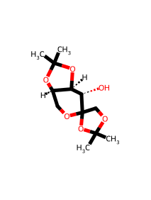 CC1(C)O[C@@H]2[C@@H](COC3(COC(C)(C)O3)[C@H]2O)O1